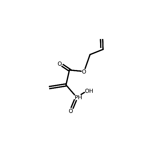 C=CCOC(=O)C(=C)[PH](=O)O